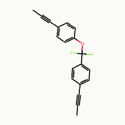 CC#Cc1ccc(OC(F)(F)c2ccc(C#CC)cc2)cc1